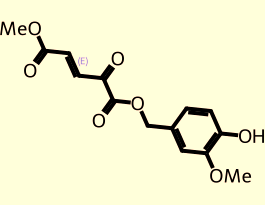 COC(=O)/C=C/C(=O)C(=O)OCc1ccc(O)c(OC)c1